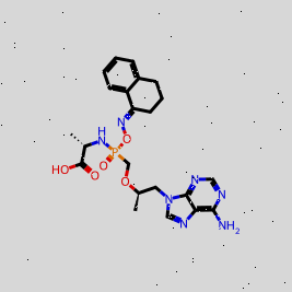 C[C@H](Cn1cnc2c(N)ncnc21)OCP(=O)(N[C@@H](C)C(=O)O)O/N=C1\CCCc2ccccc21